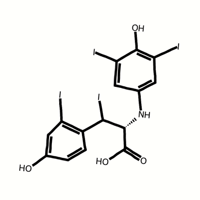 O=C(O)[C@@H](Nc1cc(I)c(O)c(I)c1)C(I)c1ccc(O)cc1I